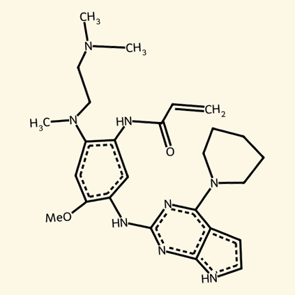 C=CC(=O)Nc1cc(Nc2nc(N3CCCCC3)c3cc[nH]c3n2)c(OC)cc1N(C)CCN(C)C